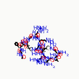 CC(=O)NCC(=O)N[C@@H](Cc1ccccc1)C(=O)C[C@H](C(=O)N[C@H]1CCCCNC(=O)C[C@@H](C(=O)N[C@H]2CCCCNC(=O)C[C@@H](C(N)=O)NC(=O)[C@H](CC(C)C)NC(=O)[C@H](CCCCN)NC(=O)[C@H](CCCNC(=N)N)NC2=O)NC(=O)[C@H](CCCCN)NC(=O)[C@H](CCCNC(=N)N)NC(=O)[C@H](C)NC1=O)C(C)O